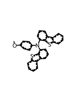 COc1ccc(N(c2cccc3c2sc2ccccc23)c2cccc3c2sc2ccccc23)cc1